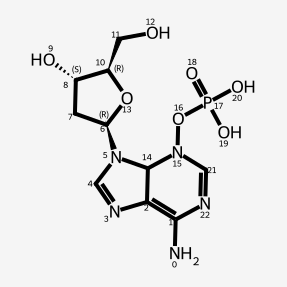 NC1=C2N=CN([C@H]3C[C@H](O)[C@@H](CO)O3)C2N(OP(=O)(O)O)C=N1